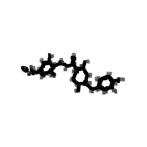 CC1CN(C(=O)COc2c(I)cc([N+](=O)[O-])cc2I)C(C)CN1Cc1ccc(F)cc1